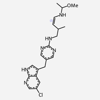 COC(C)N/C=C\C(C)CNc1ncc(Cc2c[nH]c3ncc(Cl)cc23)cn1